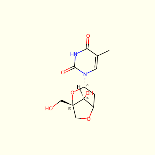 Cc1cn([C@@H]2CC3OC[C@](CO)(O2)[C@H]3O)c(=O)[nH]c1=O